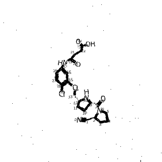 N#C[C@@H]1CCCN1C(=O)[C@@H]1CC[C@H](COc2cc(NC(=O)CCC(=O)O)ccc2Cl)N1